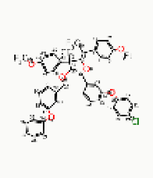 CCOc1ccc(C(C(OCc2cccc(Oc3ccc(Cl)cc3)c2)C(COCc2cccc(Oc3ccccc3)c2)(c2ccc(OC(F)(F)F)cc2)C(F)(F)F)C(F)(F)F)cc1